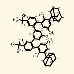 COc1cc(-c2cc(C(C)(C)C)ccc2-c2cc(C)cc(C34CC5CC(CC(C5)C3)C4)c2O)nc(-c2cc(C(C)(C)C)ccc2-c2cc(C)cc(C34CC5CC(CC(C5)C3)C4)c2O)c1